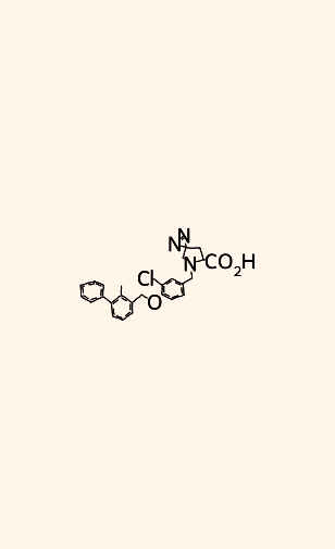 Cc1c(COc2ccc(CN3CC4(C[C@H]3C(=O)O)N=N4)cc2Cl)cccc1-c1ccccc1